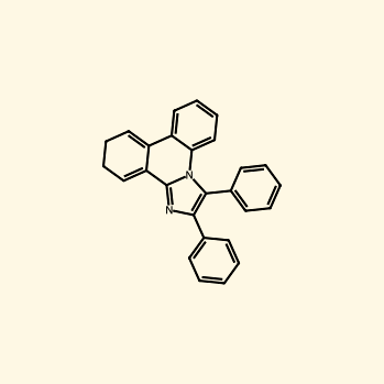 C1=c2c(c3nc(-c4ccccc4)c(-c4ccccc4)n3c3ccccc23)=CCC1